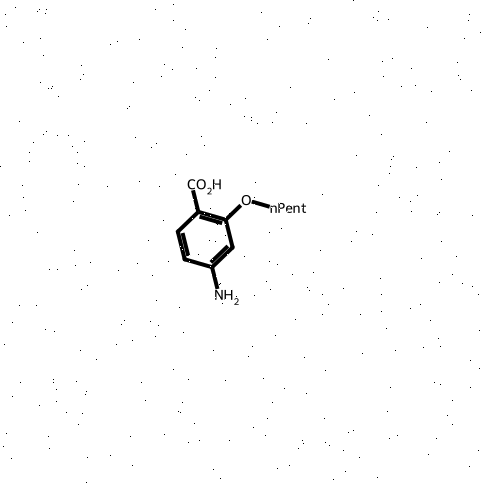 CCCCCOc1cc(N)ccc1C(=O)O